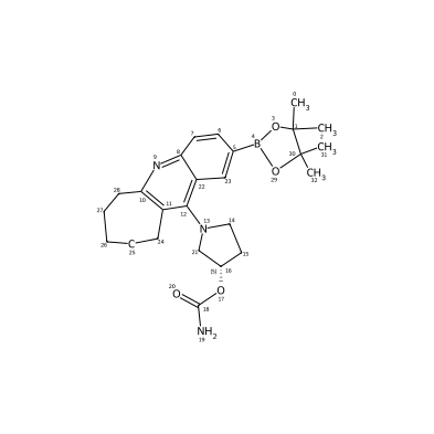 CC1(C)OB(c2ccc3nc4c(c(N5CC[C@H](OC(N)=O)C5)c3c2)CCCCC4)OC1(C)C